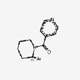 CC(=O)[C@H]1CCCCN1C(=O)c1ccncc1